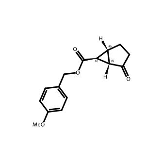 COc1ccc(COC(=O)[C@H]2[C@@H]3CCC(=O)[C@@H]32)cc1